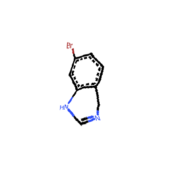 Brc1ccc2c(c1)NC=NC2